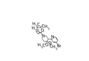 COC1(OC)CCN(C(=O)OC(C)(C)C)CC1c1cc(Br)ccn1